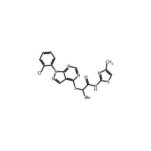 CCC(C)C(Sc1ncnc2c1cnn2-c1ccccc1Cl)C(=O)Nc1nc(C)cs1